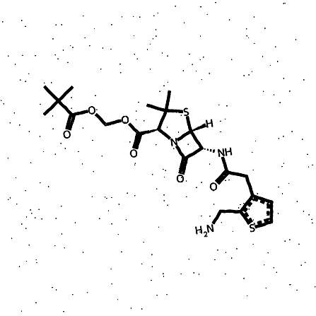 CC(C)(C)C(=O)OCOC(=O)[C@@H]1N2C(=O)[C@@H](NC(=O)Cc3ccsc3CN)[C@H]2SC1(C)C